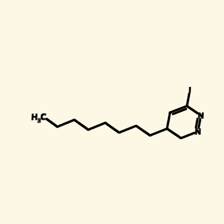 CCCCCCCCC1C=C(I)N=NC1